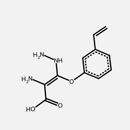 C=Cc1cccc(O/C(NN)=C(/N)C(=O)O)c1